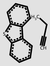 C#CCC.c1ccc2c(c1)sc1ccccc12